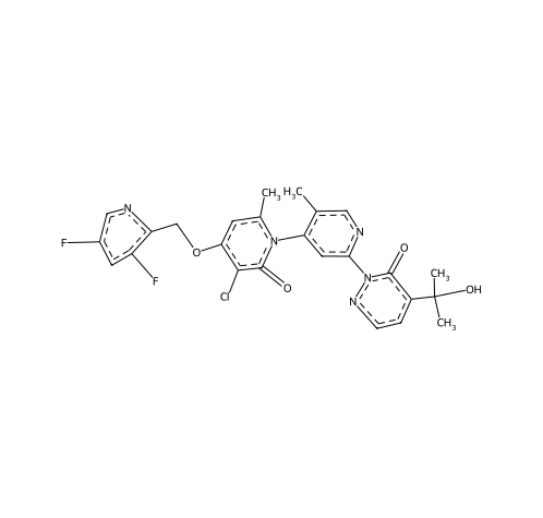 Cc1cnc(-n2nccc(C(C)(C)O)c2=O)cc1-n1c(C)cc(OCc2ncc(F)cc2F)c(Cl)c1=O